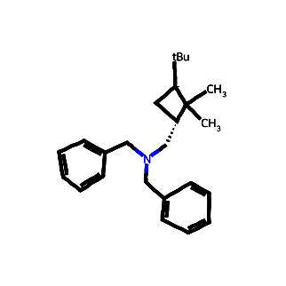 CC(C)(C)[C]1C[C@@H](CN(Cc2ccccc2)Cc2ccccc2)C1(C)C